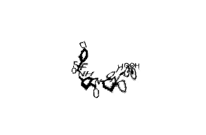 O=C1CCC(N2Cc3cc(CNC(=O)C(F)(F)c4ccc(Cl)cc4)ccc3C2=O)C(=O)N1COP(=O)(O)O